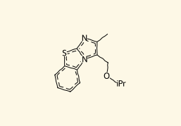 Cc1nc2sc3ccccc3n2c1COC(C)C